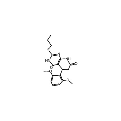 CCCSc1nc2c(c(=O)[nH]1)C(c1c(OC)cccc1OC)CC(=O)N2